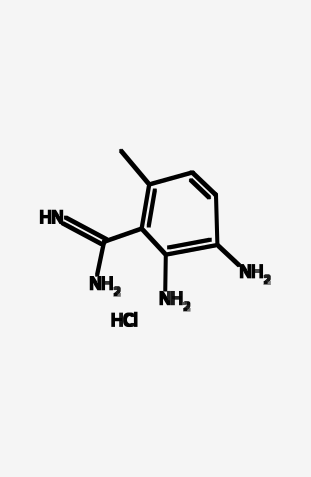 Cc1ccc(N)c(N)c1C(=N)N.Cl